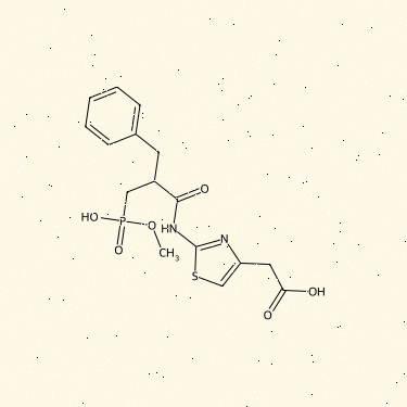 COP(=O)(O)CC(Cc1ccccc1)C(=O)Nc1nc(CC(=O)O)cs1